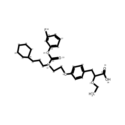 CCOC(Cc1ccc(OCCN(CCCC2CCCCC2)C(=O)Oc2cccc(F)c2)cc1)C(=O)O